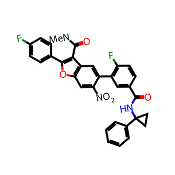 CNC(=O)c1c(-c2ccc(F)cc2)oc2cc([N+](=O)[O-])c(-c3cc(C(=O)NC4(c5ccccc5)CC4)ccc3F)cc12